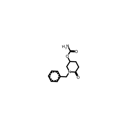 NC(=O)OC1CCC(=O)N(Cc2ccccc2)C1